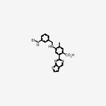 CCNc1cccc(CNc2cc(-c3ncc4ccsc4n3)c(C(=O)O)cc2C)c1